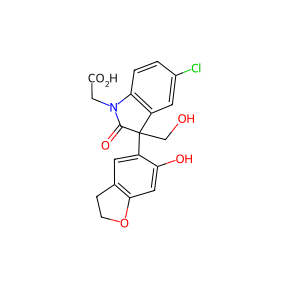 O=C(O)CN1C(=O)C(CO)(c2cc3c(cc2O)OCC3)c2cc(Cl)ccc21